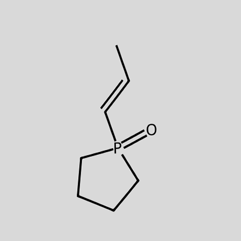 CC=CP1(=O)CCCC1